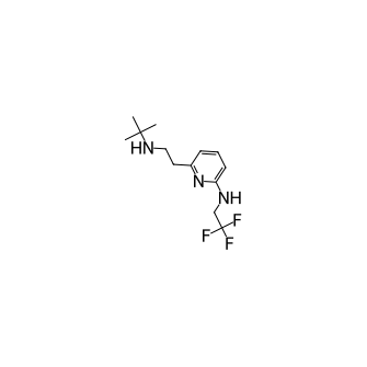 CC(C)(C)NCCc1cccc(NCC(F)(F)F)n1